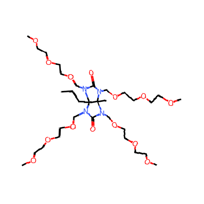 CCCC12N(COCCOCCOC)C(=O)N(COCCOCCOC)C1(C)N(COCCOCCOC)C(=O)N2COCCOCCOC